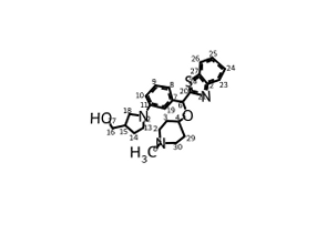 CN1CCC(OC(c2cccc(N3CCC(CO)C3)c2)c2nc3ccccc3s2)CC1